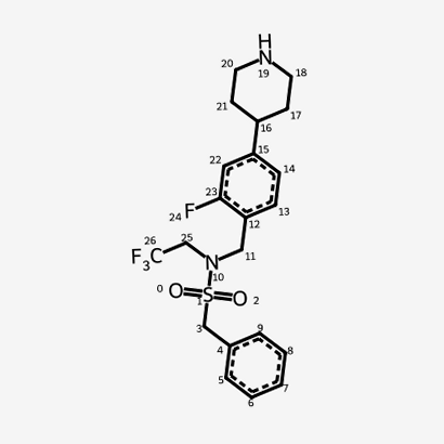 O=S(=O)(Cc1ccccc1)N(Cc1ccc(C2CCNCC2)cc1F)CC(F)(F)F